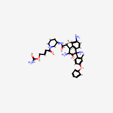 Cc1cc(Oc2ccccc2)ccc1C1(N)C(=O)C(N)C2c3c1ccc(N)c3SC2C(=O)NC1CCCN(C(=O)C=CCOC(N)=O)C1